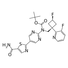 CC(C)(C)OC(=O)N(C[C@]1(c2ncccc2F)C[C@H](F)C1)c1ncc(-c2ncc(C(N)=O)s2)cn1